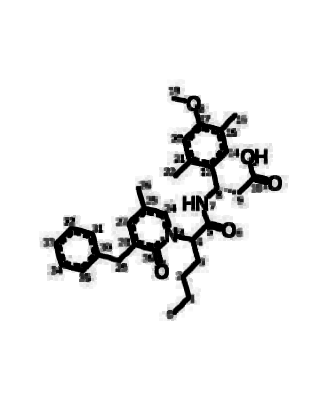 CCCCC(C(=O)N[C@@H](CC(=O)O)c1cc(C)c(OC)cc1C)n1cc(C)cc(Cc2ccccc2)c1=O